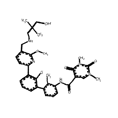 COc1nc(-c2cccc(-c3cccc(NC(=O)c4cn(C)c(=O)n(C)c4=O)c3C)c2Cl)ccc1CNCC(C)(C)CO